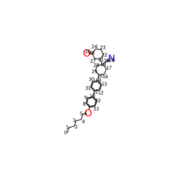 CCCCCCOc1ccc(-c2ccc(C3CCC(C#N)(C4CCCC(=O)C4)CC3)cc2)cc1